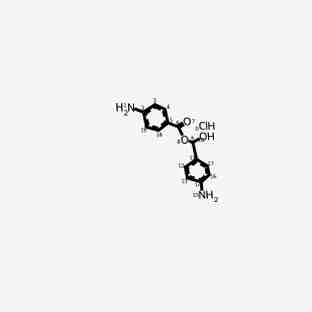 Cl.Nc1ccc(C(=O)OC(O)c2ccc(N)cc2)cc1